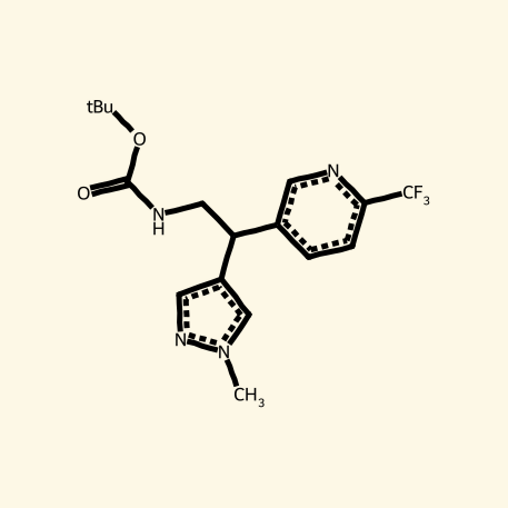 Cn1cc(C(CNC(=O)OC(C)(C)C)c2ccc(C(F)(F)F)nc2)cn1